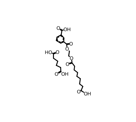 O=C(O)CCCCC(=O)O.O=C(O)CCCCCCCC(=O)OCCOC(=O)c1cccc(C(=O)O)c1